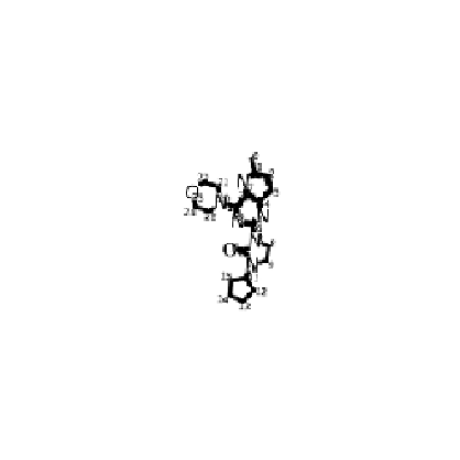 Cc1ccc2nc(N3CCN(C4CCCC4)C3=O)nc(N3CCOCC3)c2n1